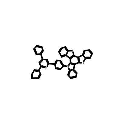 c1ccc(-c2cc(-c3ccccc3)nc(-c3ccc(-n4c5ccccc5c5c6oc7ccccc7c6c6sc7ccccc7c6c54)cc3)c2)cc1